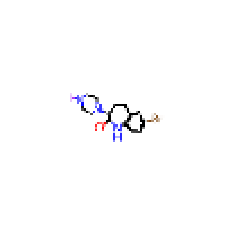 O=C1Nc2ccc(Br)cc2CCC1N1CCN(I)CC1